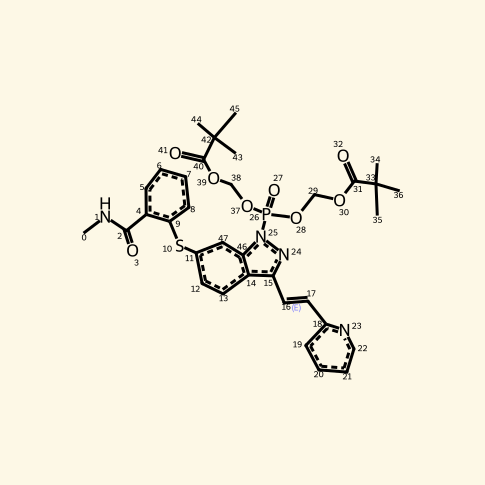 CNC(=O)c1ccccc1Sc1ccc2c(/C=C/c3ccccn3)nn(P(=O)(OCOC(=O)C(C)(C)C)OCOC(=O)C(C)(C)C)c2c1